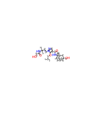 CC(C)COc1c(C(=O)N[C@H]2C3CC4CC2C[C@](O)(C4)C3)cnn1/C=C/C(C)(C)NC(=O)CO